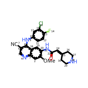 COc1cc2ncc(C#N)c(Nc3ccc(F)c(Cl)c3)c2cc1NC(=O)C=C1CCNCC1